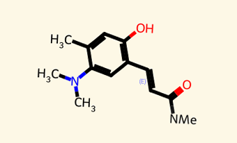 CNC(=O)/C=C/c1cc(N(C)C)c(C)cc1O